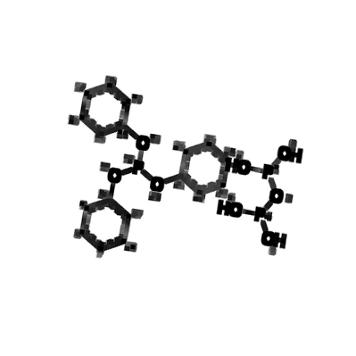 OP(O)OP(O)O.c1ccc(OP(Oc2ccccc2)Oc2ccccc2)cc1